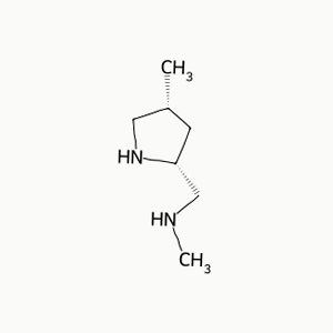 CNC[C@H]1C[C@@H](C)CN1